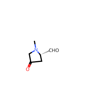 CN1CC(=O)C[C@H]1C=O